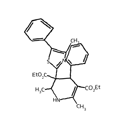 CCOC(=O)C1=C(C)NC(C)C(C(=O)OCC)(c2nc(C)c(-c3ccccc3)s2)C1c1ccccc1